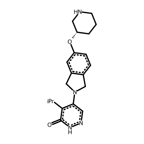 CC(C)c1c(N2Cc3ccc(O[C@H]4CCCNC4)cc3C2)cn[nH]c1=O